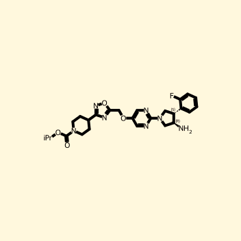 CC(C)OC(=O)N1CCC(c2noc(COc3cnc(N4C[C@H](c5ccccc5F)[C@@H](N)C4)nc3)n2)CC1